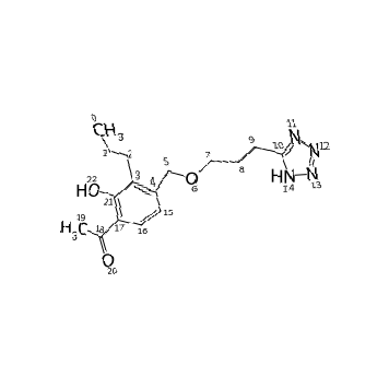 CCCc1c(COCCCc2nnn[nH]2)ccc(C(C)=O)c1O